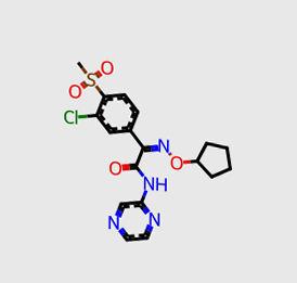 CS(=O)(=O)c1ccc(C(=NOC2CCCC2)C(=O)Nc2cnccn2)cc1Cl